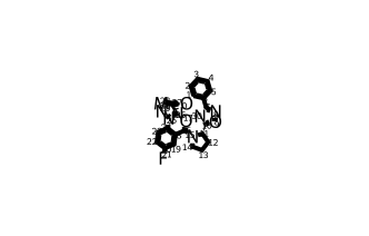 COc1ccccc1-c1noc([C@@H]2CCCN2C(=O)c2cc(F)ccc2-n2nccn2)n1